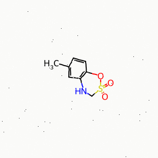 Cc1ccc2c(c1)NCS(=O)(=O)O2